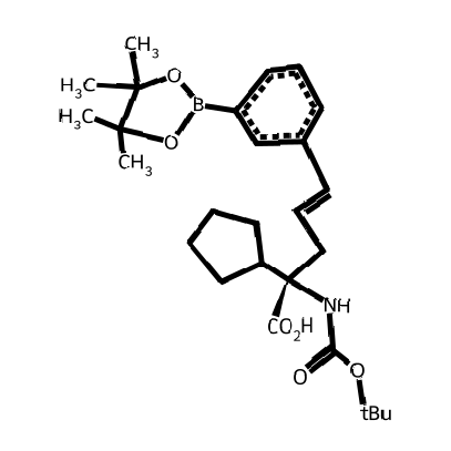 CC(C)(C)OC(=O)N[C@](CC=Cc1cccc(B2OC(C)(C)C(C)(C)O2)c1)(C(=O)O)C1CCCC1